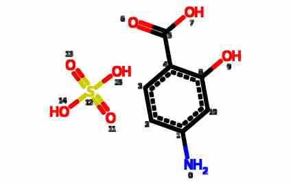 Nc1ccc(C(=O)O)c(O)c1.O=S(=O)(O)O